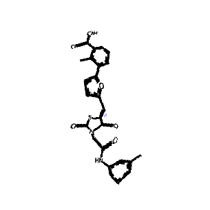 Cc1cccc(NC(=O)CN2C(=O)S/C(=C\c3ccc(-c4cccc(C(=O)O)c4C)o3)C2=O)c1